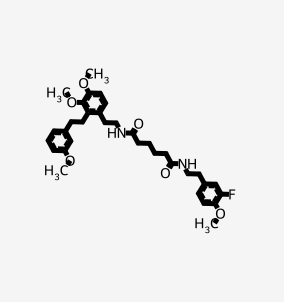 COc1cccc(CCc2c(CCNC(=O)CCCCC(=O)NCCc3ccc(OC)c(F)c3)ccc(OC)c2OC)c1